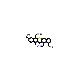 Cc1c2c(c(CC(C)(C)C)c3cc(CC(C)C)ccc13)Sc1cc3cccc(CC(C)(C)C)c3c3cc[n+](C)c-2c13